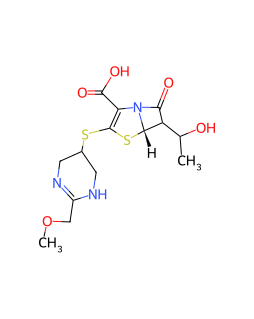 COCC1=NCC(SC2=C(C(=O)O)N3C(=O)C(C(C)O)[C@@H]3S2)CN1